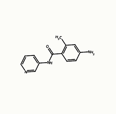 Cc1cc(N)ccc1C(=O)Nc1cccnc1